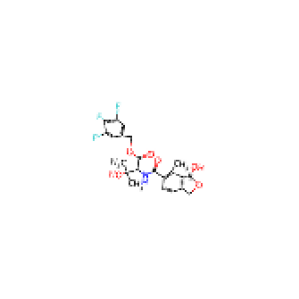 Cc1c(C(=O)NC(C(=O)OCc2cc(F)c(F)c(F)c2)C(C)(C)O)ccc2c1B(O)OC2